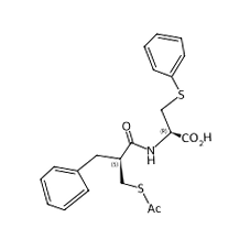 CC(=O)SC[C@@H](Cc1ccccc1)C(=O)N[C@@H](CSc1ccccc1)C(=O)O